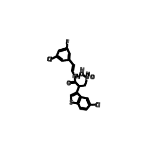 O=C(N/C=C/c1cc(F)cc(Cl)c1)C(C[PH](=O)O)c1csc2ccc(Cl)cc12